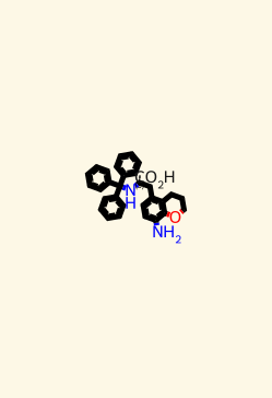 Nc1ccc(C[C@H](NC(c2ccccc2)(c2ccccc2)c2ccccc2)C(=O)O)c2c1OCCC2